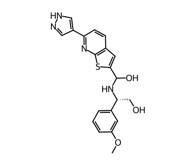 COc1cccc([C@@H](CO)NC(O)c2cc3ccc(-c4cn[nH]c4)nc3s2)c1